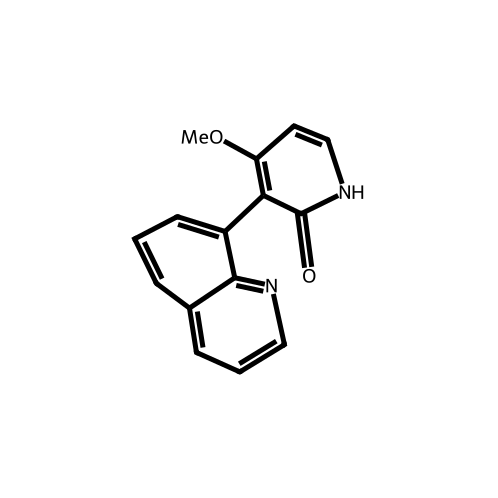 COc1cc[nH]c(=O)c1-c1cccc2cccnc12